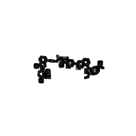 CCc1nc(-c2cccc3cc(-c4ccc(C(=O)N[C@H](C)CC#Cc5cccc6c5CN(C5CCC(=O)NC5=O)C6=O)nc4)ncc23)c2n1CCN(C(C)=O)C2